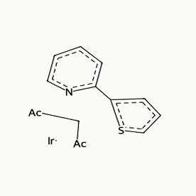 CC(=O)CC(C)=O.[Ir].c1ccc(-c2cccs2)nc1